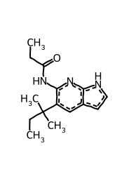 CCC(=O)Nc1nc2[nH]ccc2cc1C(C)(C)CC